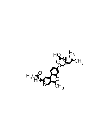 CC(=O)Nc1cc2c(cn1)C(C)Oc1cc(OC[C@H](CC(C)C)NC(=O)O)ccc1-2